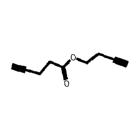 C#CCCOC(=O)CCC#C